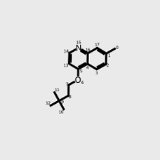 Cc1ccc2c(OCCC(C)(C)C)ccnc2c1